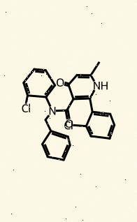 Cc1cc(=O)c(C(=O)N(Cc2ccccc2)c2ccccc2Cl)c(-c2ccccc2Cl)[nH]1